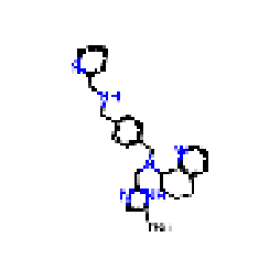 CC(C)(C)c1cnc(CN(Cc2ccc(CNCc3ccccn3)cc2)C2CCCc3cccnc32)[nH]1